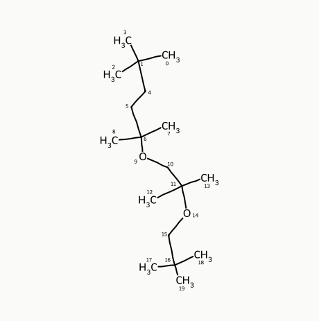 CC(C)(C)CCC(C)(C)OCC(C)(C)OCC(C)(C)C